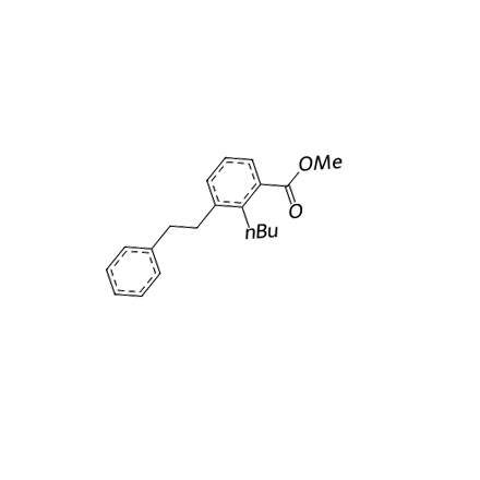 CCCCc1c(CCc2ccccc2)cccc1C(=O)OC